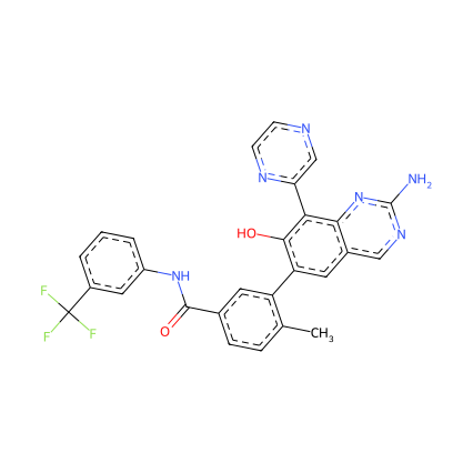 Cc1ccc(C(=O)Nc2cccc(C(F)(F)F)c2)cc1-c1cc2cnc(N)nc2c(-c2cnccn2)c1O